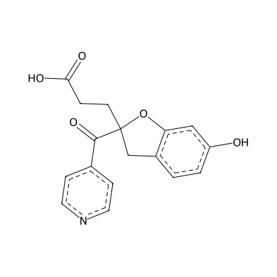 O=C(O)CCC1(C(=O)c2ccncc2)Cc2ccc(O)cc2O1